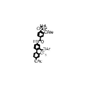 COc1cc(C(=O)Nc2ccc(-c3ccc(OC(C)=O)cc3C(F)(F)F)c(COC(C)=O)c2)ccc1S(N)(=O)=O